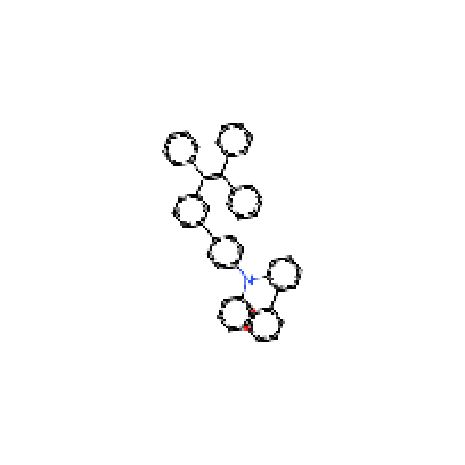 c1ccc(C(=C(c2ccccc2)c2cccc(-c3ccc(N(c4ccccc4)c4ccccc4-c4ccccc4)cc3)c2)c2ccccc2)cc1